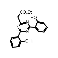 CCOC(=O)Cc1nc(-c2ccccc2O)nc(-c2ccccc2O)n1